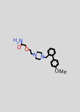 COc1ccc(-c2ccccc2CN2CCN(CCOCC(N)=O)CC2)cc1